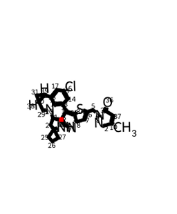 Cc1cnn(Cc2cc3nccc(-c4cc(Cl)cc5c4N(C4CNC6(CCC6)C4)C[C@H]4C[C@@H]54)c3s2)c(=O)c1